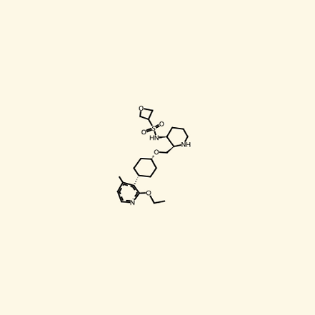 CCOc1nccc(C)c1[C@H]1CC[C@@H](OC[C@@H]2NCCC[C@@H]2NS(=O)(=O)C2COC2)CC1